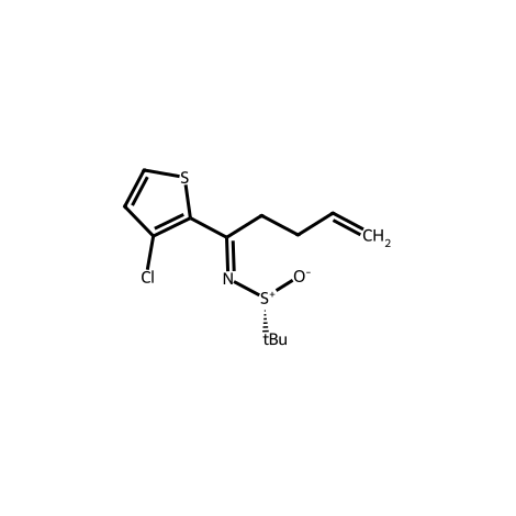 C=CCC/C(=N\[S@+]([O-])C(C)(C)C)c1sccc1Cl